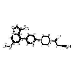 C#CCC(=O)N1CCN(c2ccc(-c3cc(OCC)cn4ncc(C#N)c34)cn2)CC1